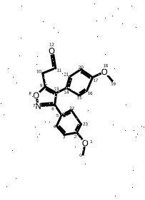 COc1ccc(-c2noc(CC=O)c2-c2ccc(OC)cc2)cc1